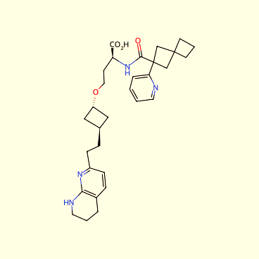 O=C(O)[C@H](CCO[C@H]1C[C@H](CCc2ccc3c(n2)NCCC3)C1)NC(=O)C1(c2ccccn2)CC2(CCC2)C1